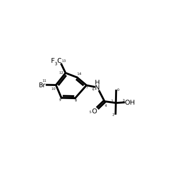 CC(C)(O)C(=O)Nc1ccc(Br)c(C(F)(F)F)c1